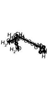 CC(C)[C@@H](NC(=O)CCOCCOCCOCCOCCNC(=O)CCC(=O)N1Cc2ccccc2-c2[nH]nnc2-c2ccccc21)C(=O)N[C@H](CCCNC(N)=O)C(=O)Nc1ccc(COC(N)=O)cc1